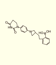 O=C1CCN(c2ccc(N3CC(CCc4ccccc4B(O)O)C3)cc2)C(=O)N1